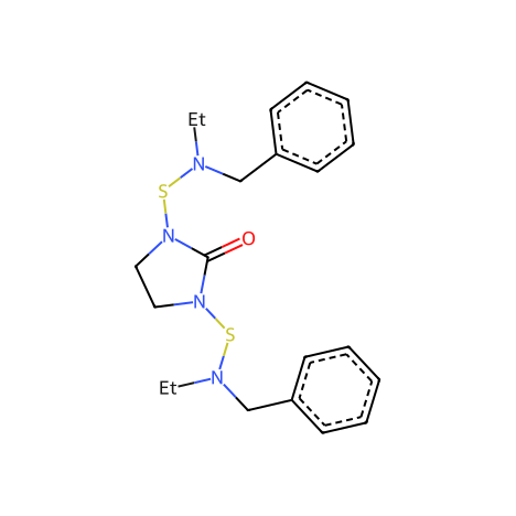 CCN(Cc1ccccc1)SN1CCN(SN(CC)Cc2ccccc2)C1=O